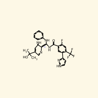 CC(C)(O)C1=CC(=N)/C(=C(/NC(=O)c2cc(-c3cc[nH]n3)c(C(F)(F)F)cc2F)Nc2ccccc2)N=C1